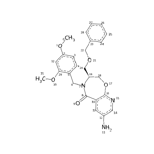 COc1ccc(CN2C(=O)c3cc(N)cnc3OC[C@@H]2COCc2ccccc2)c(OC)c1